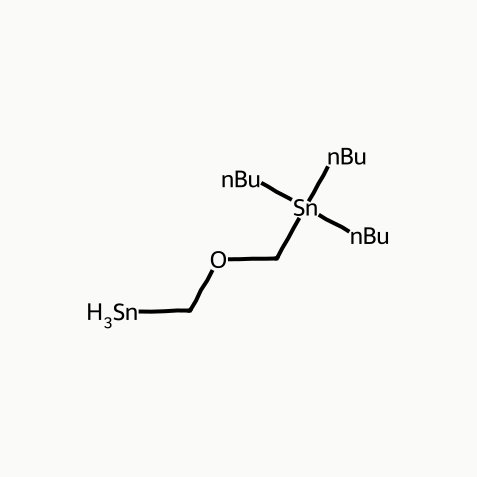 CCC[CH2][Sn]([CH2]CCC)([CH2]CCC)[CH2]O[CH2][SnH3]